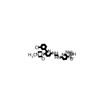 CN1CCN(c2ccc(NCCNc3ccc([NH+]([O-])O)c(N)n3)nc2-c2cccc(Cl)c2)C(=O)C1